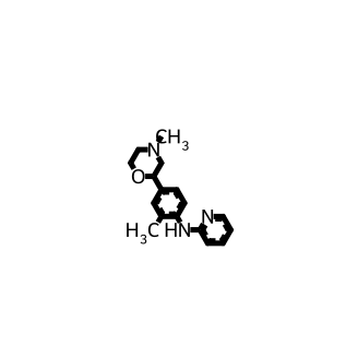 Cc1cc(C2CN(C)CCO2)ccc1Nc1ccccn1